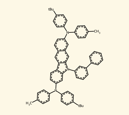 Cc1ccc(N(c2ccc(C(C)(C)C)cc2)c2ccc3cc4c5ccc(N(c6ccc(C)cc6)c6ccc(C(C)(C)C)cc6)cc5n(-c5cccc(-c6ccccc6)c5)c4cc3c2)cc1